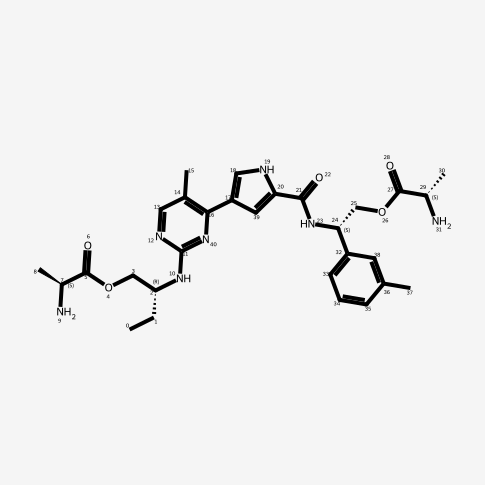 CC[C@H](COC(=O)[C@H](C)N)Nc1ncc(C)c(-c2c[nH]c(C(=O)N[C@H](COC(=O)[C@H](C)N)c3cccc(C)c3)c2)n1